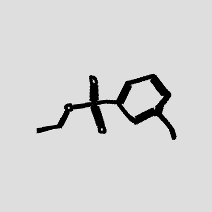 CCOS(=O)(=O)c1cccc(C)c1